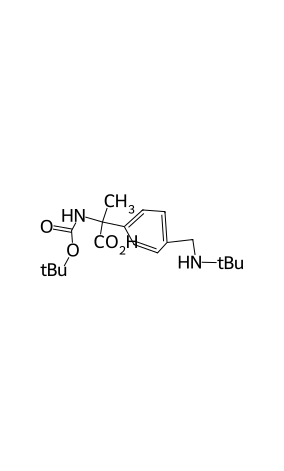 CC(C)(C)NCc1ccc(C(C)(NC(=O)OC(C)(C)C)C(=O)O)cc1